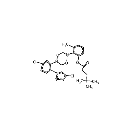 Cc1cccc(OC(=O)CCC(C)(C)C)c1N1CON(c2cc(Cl)ccc2-n2cc(Cl)nn2)CO1